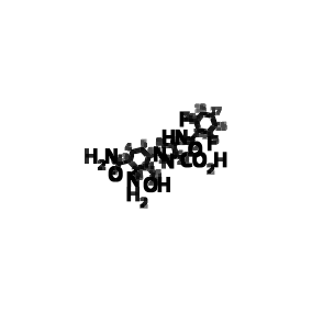 NC(=O)c1ccc(-n2cc(NC(=O)c3c(F)cccc3F)c(C(=O)O)n2)c(CO)c1N